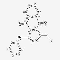 CCc1ccc(Nc2ccccc2)c2c1C(=O)c1ccccc1C2=O